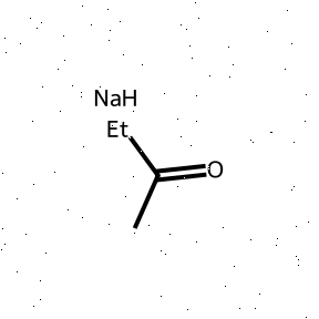 [CH2]CC(C)=O.[NaH]